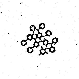 Cc1cc(C)c(B2c3ccccc3N(c3ccccc3)c3cc4c(cc32)B2c3ccc(-c5ccccc5)cc3N3c5cc(-c6ccccc6)ccc5B5c6ccccc6N(c6ccccc6)c6cc(c2c3c65)N4c2ccccc2)c(C)c1